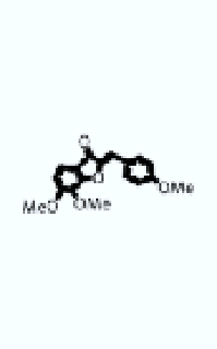 COc1ccc(C=C2Oc3c(ccc(OC)c3OC)C2=O)cc1